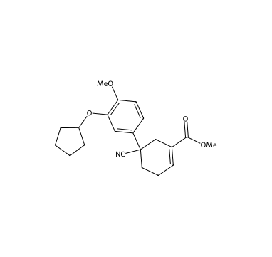 COC(=O)C1=CCCC(C#N)(c2ccc(OC)c(OC3CCCC3)c2)C1